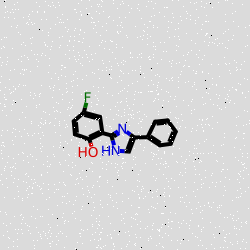 Oc1ccc(F)cc1-c1nc(-c2ccccc2)c[nH]1